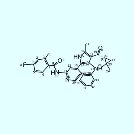 Cc1cc(F)ccc1C(=O)Nc1cc(-c2[nH]c(C)c(C(=O)[C@@H]3CC3(C)C)c2Nc2ccccc2)ccn1